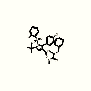 COC(=O)[C@H](Cc1ccccc1)NC(=O)C1=CC(C(C)(C)C)N(S(=O)(=O)c2ccccc2C)C1c1ccc(Cl)cc1